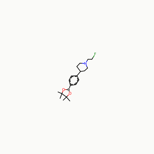 CC1(C)OB(c2ccc(C3CCN(CCF)CC3)cc2)OC1(C)C